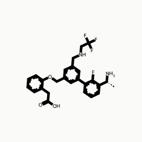 C[C@@H](N)c1cccc(-c2cc(CNCC(F)(F)F)cc(COc3ccccc3CC(=O)O)c2)c1F